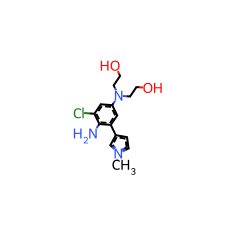 Cn1ccc(-c2cc(N(CCO)CCO)cc(Cl)c2N)c1